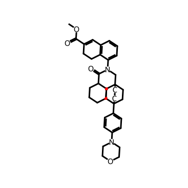 COC(=O)C1=Cc2cccc(N(CC34CCC(c5ccc(N6CCOCC6)cc5)(CC3)CC4)C(=O)C3CCCCC3)c2CC1